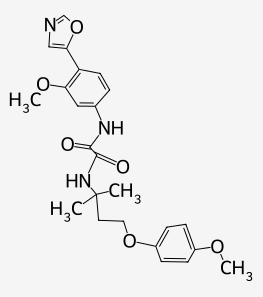 COc1ccc(OCCC(C)(C)NC(=O)C(=O)Nc2ccc(-c3cnco3)c(OC)c2)cc1